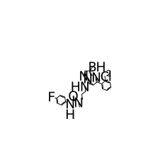 Bc1cnn2c(NCCCN(C)C(=O)Nc3ccc(F)cc3)cc(-c3ccccc3Cl)nc12